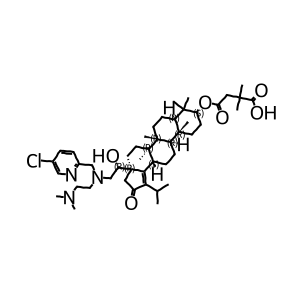 CC(C)C1=C2[C@H]3CC[C@@H]4[C@@]5(C)CC[C@H](OC(=O)CC(C)(C)C(=O)O)C(C)(C)[C@@H]5CC[C@@]4(C)[C@]3(C)CC[C@@]2([C@@H](O)CN(CCN(C)C)Cc2ccc(Cl)cn2)CC1=O